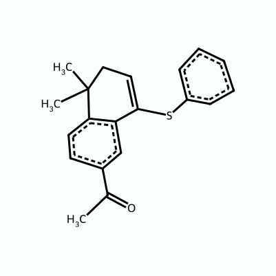 CC(=O)c1ccc2c(c1)C(Sc1ccccc1)=CCC2(C)C